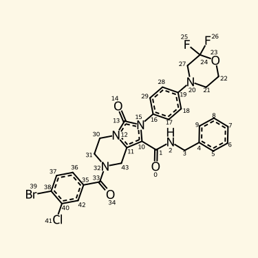 O=C(NCc1ccccc1)c1c2n(c(=O)n1-c1ccc(N3CCOC(F)(F)C3)cc1)CCN(C(=O)c1ccc(Br)c(Cl)c1)C2